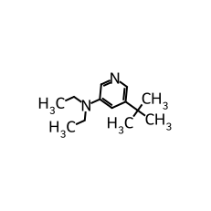 CCN(CC)c1cncc(C(C)(C)C)c1